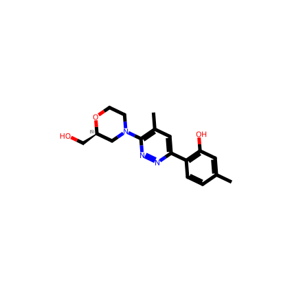 Cc1ccc(-c2cc(C)c(N3CCO[C@H](CO)C3)nn2)c(O)c1